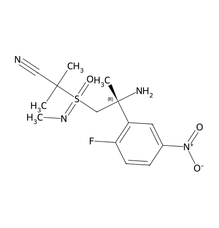 CN=S(=O)(C[C@](C)(N)c1cc([N+](=O)[O-])ccc1F)C(C)(C)C#N